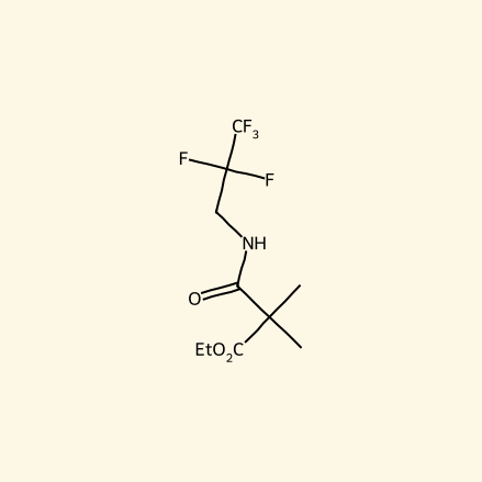 CCOC(=O)C(C)(C)C(=O)NCC(F)(F)C(F)(F)F